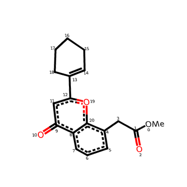 COC(=O)Cc1cccc2c(=O)cc(C3=CCCCC3)oc12